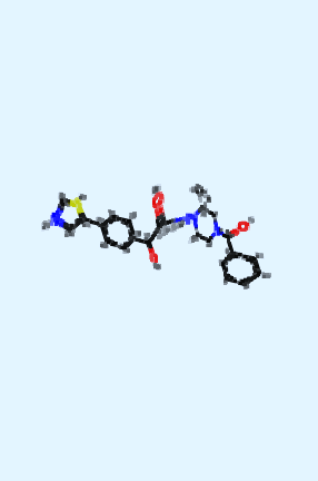 C[C@@H]1CN(C(=O)c2ccccc2)CCN1C(=O)C(=O)c1ccc(-c2cncs2)cc1